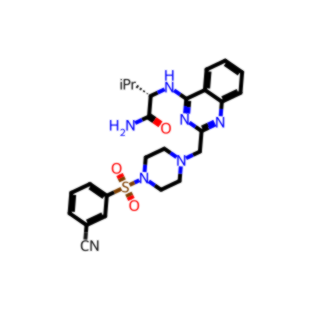 CC(C)[C@H](Nc1nc(CN2CCN(S(=O)(=O)c3cccc(C#N)c3)CC2)nc2ccccc12)C(N)=O